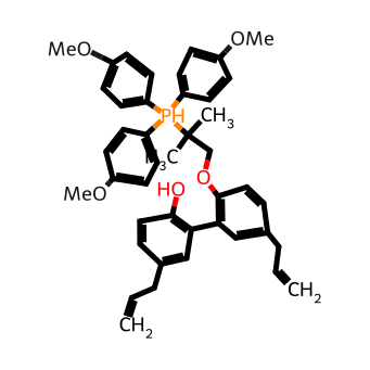 C=CCc1ccc(O)c(-c2cc(CC=C)ccc2OCC(C)(C)[PH](c2ccc(OC)cc2)(c2ccc(OC)cc2)c2ccc(OC)cc2)c1